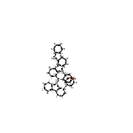 c1ccc(-c2cccc3c4ccccc4n(B4c5ccccc5-n5c6ccc7c8ccccc8sc7c6c6cccc4c65)c23)cc1